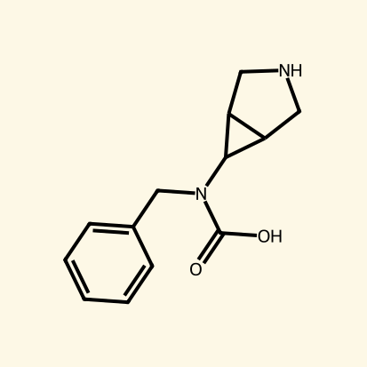 O=C(O)N(Cc1ccccc1)C1C2CNCC21